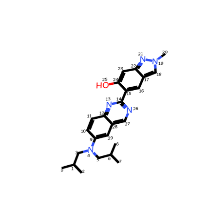 CC(C)CN(CC(C)C)c1ccc2nc(-c3cc4cn(C)nc4cc3O)ncc2c1